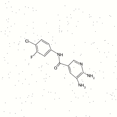 Nc1cc(C(=O)Nc2ccc(Cl)c(F)c2)cnc1N